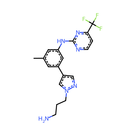 Cc1cc(Nc2nccc(C(F)(F)F)n2)cc(-c2cnn(CCCN)c2)c1